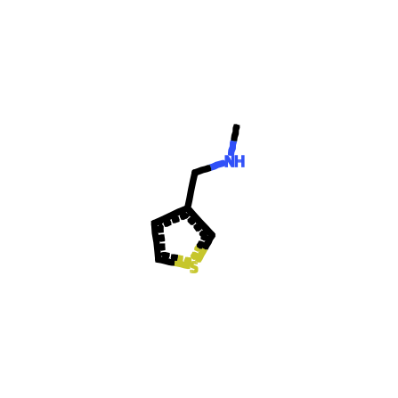 CNCc1ccsc1